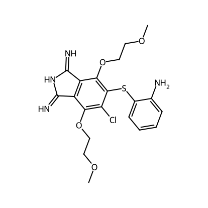 COCCOc1c(Cl)c(Sc2ccccc2N)c(OCCOC)c2c1C(=N)NC2=N